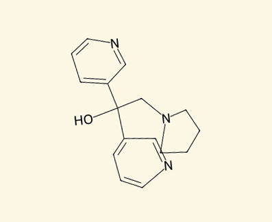 OC(CN1CCCC1)(c1cccnc1)c1cccnc1